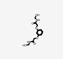 O=C(COc1cccc(OCC(=O)NCO)c1)NCO